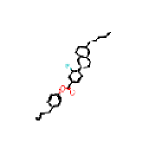 C=CCCc1ccc(OC(=O)c2ccc(C3CCC4CC(CCCCC)CCC4C3)c(F)c2)cc1